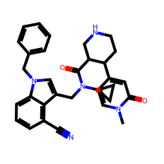 Cn1ccc(C2CCNCC2C(=O)N(Cc2cn(Cc3ccccc3)c3cccc(C#N)c23)C2CC2)cc1=O